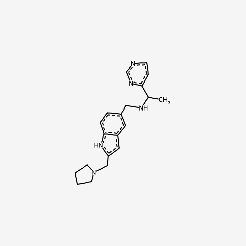 CC(NCc1ccc2[nH]c(CN3CCCC3)cc2c1)c1ccncn1